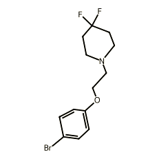 FC1(F)CCN(CCOc2ccc(Br)cc2)CC1